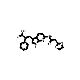 O=C(Cc1ncco1)Nc1ccc2c(/C=C(/C(=O)O)c3ccccc3)c[nH]c2n1